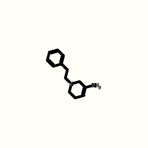 NC1=[C]CCN(CCc2ccccc2)C1